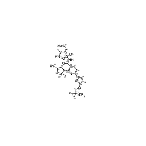 CN/C=C(\C(C)=N)S(=O)(=O)NC(=O)c1ccc(-n2ccc(OCC3(C(F)(F)F)CC3)n2)nc1N1CC(C(C)C)CC1(C)C